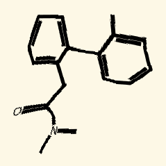 Cc1ccccc1-c1ccccc1CC(=O)N(C)C